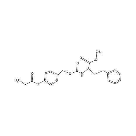 CCC(=O)Oc1ccc(COC(=O)NC(CCc2ccccc2)C(=O)OC)cc1